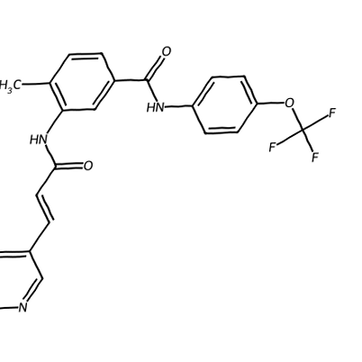 Cc1ccc(C(=O)Nc2ccc(OC(F)(F)F)cc2)cc1NC(=O)C=Cc1cncnc1